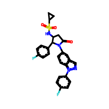 O=C1CC(NS(=O)(=O)C2CC2)C(c2ccc(F)cc2)N1c1ccc2c(cnn2-c2ccc(F)cc2)c1